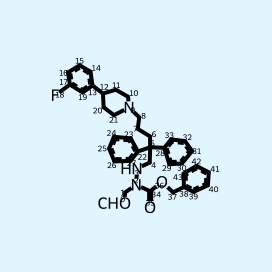 O=CCN(NCC(CCCN1CCC(c2cccc(F)c2)CC1)(c1ccccc1)c1ccccc1)C(=O)OCc1ccccc1